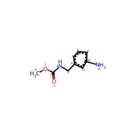 COC(=O)NCc1cccc(N)c1